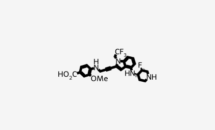 COc1cc(C(=O)O)ccc1NCC#Cc1cc2c(N[C@@H]3CCNC[C@@H]3F)cccc2n1CC(F)(F)F